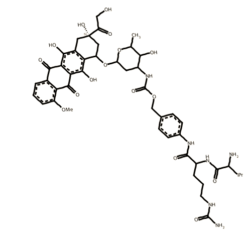 COc1cccc2c1C(=O)c1c(O)c3c(c(O)c1C2=O)C[C@@](O)(C(=O)CO)CC3OC1CC(NC(=O)OCc2ccc(NC(=O)C(CCCNC(N)=O)NC(=O)C(N)C(C)C)cc2)C(O)C(C)O1